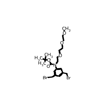 COCCOCCOCCN(C(=O)OC(C)(C)C)c1cc(CBr)cc(CBr)c1